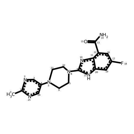 Cc1ncc(N2CCN(c3nc4c(C(N)=O)cc(F)cc4[nH]3)CC2)cn1